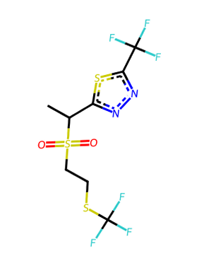 CC(c1nnc(C(F)(F)F)s1)S(=O)(=O)CCSC(F)(F)F